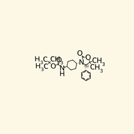 CC(C)(C)OC(=O)N[C@H]1CC[C@H](N2C(=O)OC(C)(C)[C@@H]2c2ccccc2)CC1